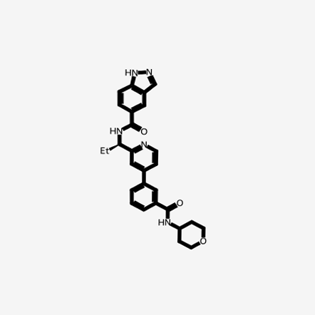 CC[C@@H](NC(=O)c1ccc2[nH]ncc2c1)c1cc(-c2cccc(C(=O)NC3CCOCC3)c2)ccn1